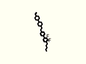 C=CC1CCC(C2CCC(CCc3ccc(-c4ccc(CCCCC)c(F)c4F)cc3)CC2)CC1